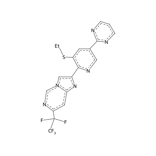 CCSc1cc(-c2ncccn2)cnc1-c1cn2cnc(C(F)(F)C(F)(F)F)cc2n1